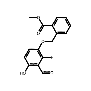 COC(=O)c1ccccc1COc1ccc(O)c(C=O)c1F